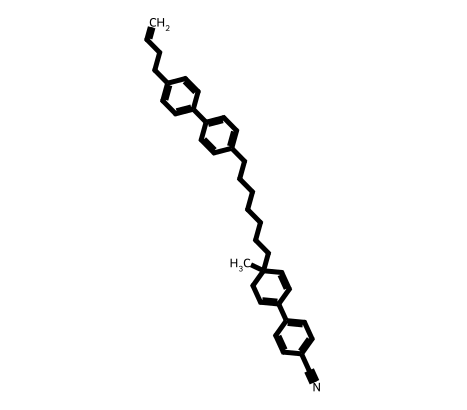 C=CCCc1ccc(-c2ccc(CCCCCCCC3(C)C=CC(c4ccc(C#N)cc4)=CC3)cc2)cc1